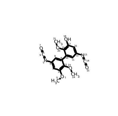 COc1cc(N=C=O)cc(-c2cc(N=C=O)cc(O)c2OC)c1OC